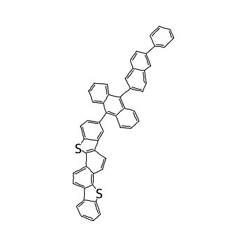 c1ccc(-c2ccc3cc(-c4c5ccccc5c(-c5ccc6sc7c(ccc8c7ccc7c9ccccc9sc78)c6c5)c5ccccc45)ccc3c2)cc1